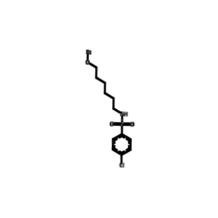 CCOCCCCCCNS(=O)(=O)c1ccc(Cl)cc1